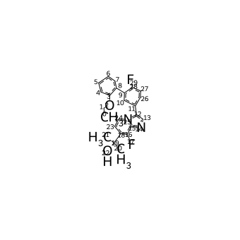 CCOc1ccccc1-c1cc(-c2cnc3c(F)c(C(C)(C)O)ccn23)ccc1F